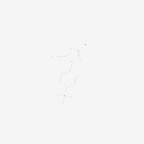 CC(C)(C)c1nc(N)n(-c2c(Cl)cc(C(F)(F)F)cc2Cl)n1